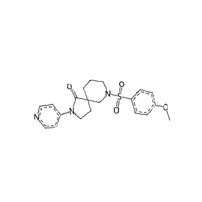 COc1ccc(S(=O)(=O)N2CCCC3(CCN(c4ccncc4)C3=O)C2)cc1